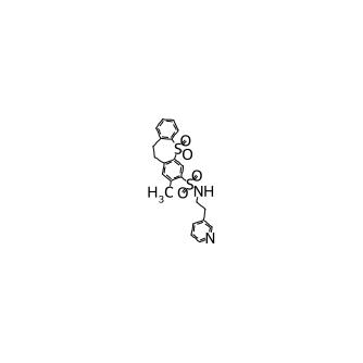 Cc1cc2c(cc1S(=O)(=O)NCCc1cccnc1)S(=O)(=O)c1ccccc1CC2